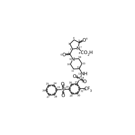 O=C(C1CCC(=O)N1C(=O)O)N1CCC(NS(=O)(=O)c2cc(S(=O)(=O)c3ccccc3)ccc2C(F)(F)F)CC1